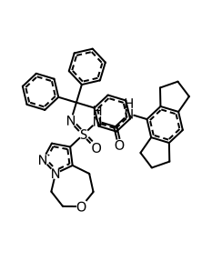 O=C(Nc1c2c(cc3c1CCC3)CCC2)NS(=O)(=NC(c1ccccc1)(c1ccccc1)c1ccccc1)c1cnn2c1CCOCC2